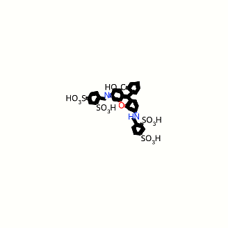 O=C(O)c1ccccc1-c1c2cc/c(=N/Cc3ccc(S(=O)(=O)O)cc3S(=O)(=O)O)cc-2oc2cc(NCc3ccc(S(=O)(=O)O)cc3S(=O)(=O)O)ccc12